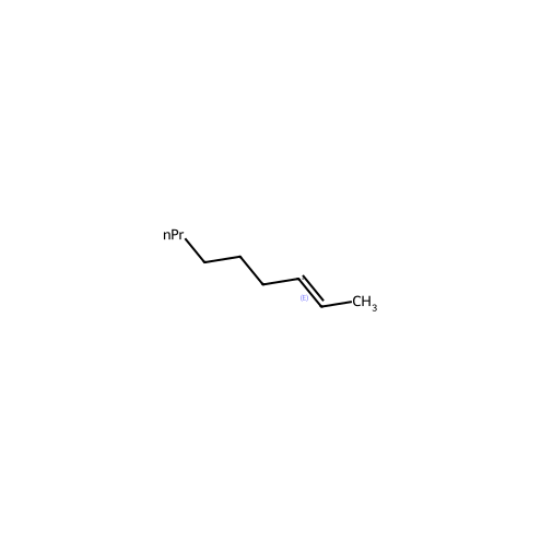 C/C=[C]/CCCCCC